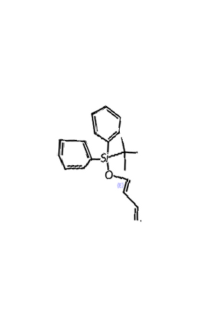 [CH]=C/C=C/O[Si](c1ccccc1)(c1ccccc1)C(C)(C)C